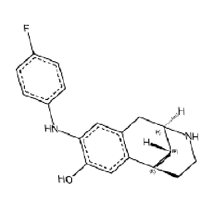 Oc1cc2c(cc1Nc1ccc(F)cc1)C[C@H]1NCC[C@@]23CCCC[C@@H]13